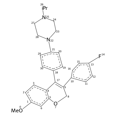 COc1ccc2c(c1)OCC(c1ccc(F)cc1)=C2c1ccc(N2CCN(C(C)C)CC2)cc1